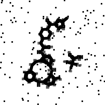 Cc1cc(C(=O)N2CCC(CC(=O)Nc3ccc4cc3CCc3cccc(c3)Nc3ncc(C)c(n3)N4)CC2)no1.O=C(O)C(F)(F)F